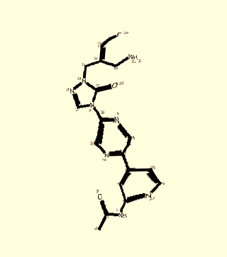 CC(=O)Nc1cc(-c2cnc(-n3cnn(C/C(=C/F)CN)c3=O)cn2)ccn1